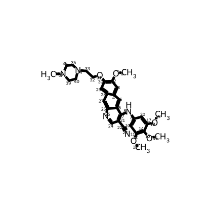 COc1cc2cc3c(Nc4cc(OC)c(OC)c(OC)c4)c(C#N)cnc3cc2cc1OCCN1CCN(C)CC1